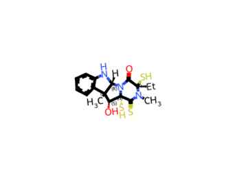 CC[C@]1(S)C(=O)N2[C@H]3Nc4ccccc4[C@@]3(C)[C@H](O)[C@]2(S)C(=S)N1C